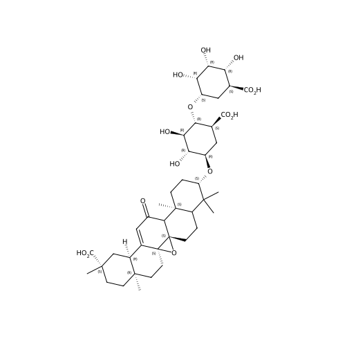 CC1(C)C2CC[C@@]34O[C@]35CC[C@@]3(C)CC[C@](C)(C(=O)O)C[C@H]3C5=CC(=O)C4[C@@]2(C)CC[C@@H]1O[C@@H]1C[C@H](C(=O)O)[C@@H](O[C@H]2C[C@H](C(=O)O)[C@@H](O)[C@@H](O)[C@H]2O)[C@H](O)[C@H]1O